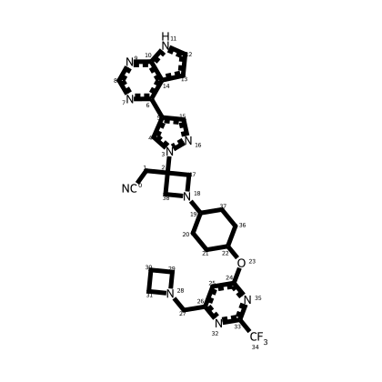 N#CCC1(n2cc(-c3ncnc4[nH]ccc34)cn2)CN(C2CCC(Oc3cc(CN4CCC4)nc(C(F)(F)F)n3)CC2)C1